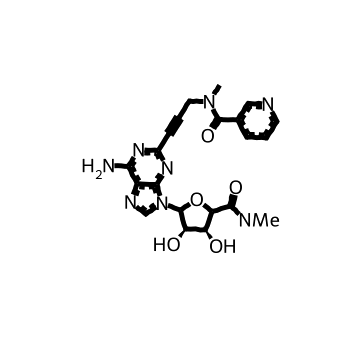 CNC(=O)C1OC(n2cnc3c(N)nc(C#CCN(C)C(=O)c4cccnc4)nc32)[C@H](O)[C@@H]1O